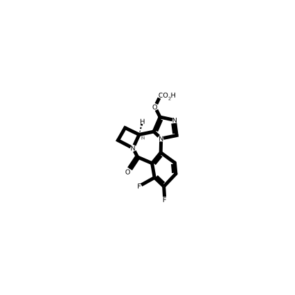 O=C(O)Oc1ncn2c1[C@@H]1CCN1C(=O)c1c-2ccc(F)c1F